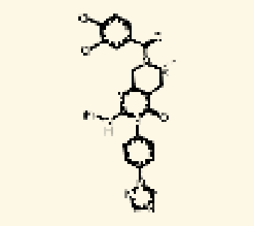 CC(C)Nc1nc2c(c(=O)n1-c1ccc(-n3cncn3)cc1)C[C@@H](C)N(C(=O)c1ccc(Cl)c(Cl)c1)C2